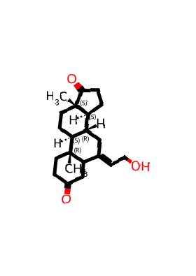 C[C@]12CCC(=O)CC1C(=CCO)C[C@@H]1[C@@H]2CC[C@]2(C)C(=O)CC[C@@H]12